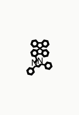 c1ccc(-c2cc(-c3ccccc3)nc(-c3cccc4c3-c3ccccc3C43c4ccccc4-c4ccccc43)n2)cc1